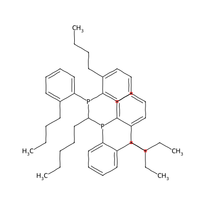 CCCCCC(P(c1ccccc1CCCC)c1ccccc1CCCC)P(c1ccccc1CCCC)c1ccccc1CCCC